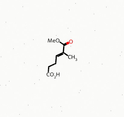 COC(=O)C(C)=CCCC(=O)O